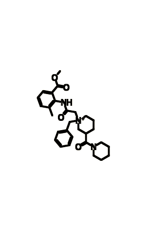 COC(=O)c1cccc(C)c1NC(=O)C[N+]1(Cc2ccccc2)CCCC(C(=O)N2CCCCC2)C1